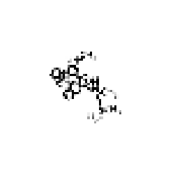 CCNc1cc(C(=O)N[C@@H](Cc2ccccc2Cl)[C@H](O)CNC(C)CCCC(C)C)cc(N2CCCCS2(=O)=O)c1